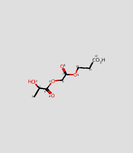 CC(O)C(=O)OCC(=O)OCCC(=O)O